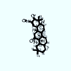 [C-]#[N+]C1=C[C@]2(C)[C@H]3CC(=O)[C@@H]4[C@@H]5CC(C)(C)CC[C@]5(C)CC[C@@]4(C)[C@]3(C)CC[C@H]2C(C)(C)C1=O